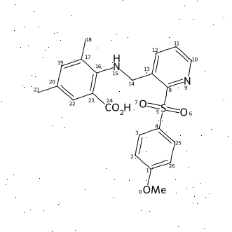 COc1ccc(S(=O)(=O)c2ncccc2CNc2c(C)cc(C)cc2C(=O)O)cc1